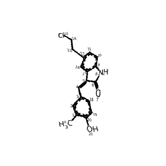 Cc1cc(C=C2C(=O)Nc3ccc(CCCl)cc32)ccc1O